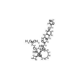 CN(C)CCOC1CC(C(=O)NC[C@H](O)CN2CCc3cc(OCc4cnco4)ccc3C2)C2(CCCCCCCCCC2)C(NC2CCC2)N1